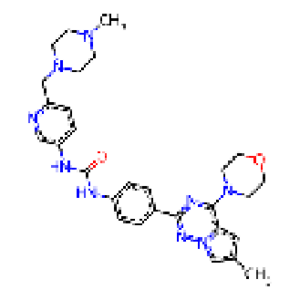 Cc1cc2c(N3CCOCC3)nc(-c3ccc(NC(=O)Nc4ccc(CN5CCN(C)CC5)nc4)cc3)nn2c1